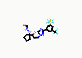 O=CNNC1(C(=O)/C=C\n2cnc(-c3cc(C(F)(F)F)cc(S(F)(F)(F)(F)F)c3)n2)CCCC1